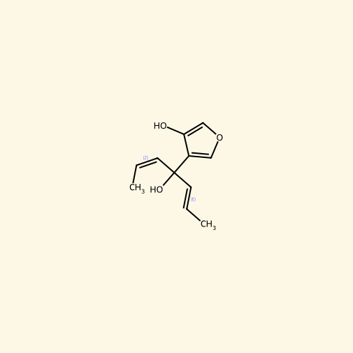 C/C=C\C(O)(/C=C/C)c1cocc1O